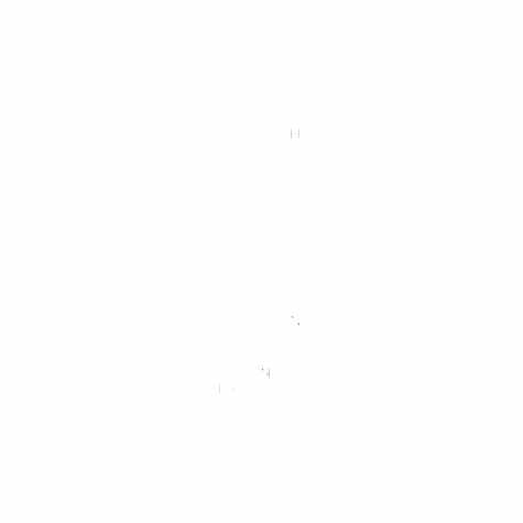 CCCc1ccc(-c2ccc(NC[C@@H]3CCCN3C(=O)O)cc2)cc1